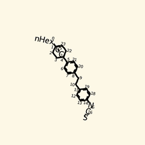 CCCCCCC12CCC(c3ccc(CCc4ccc(N=C=S)cc4)cc3)(CC1)CC2